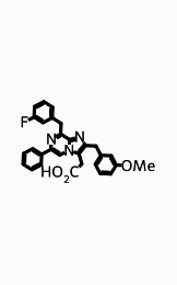 COc1cccc(Cc2nc3c(Cc4cccc(F)c4)nc(-c4ccccc4)cn3c2CC(=O)O)c1